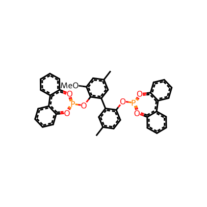 COc1cc(C)cc(-c2cc(C)ccc2Op2oc3ccccc3c3ccccc3o2)c1Op1oc2ccccc2c2ccccc2o1